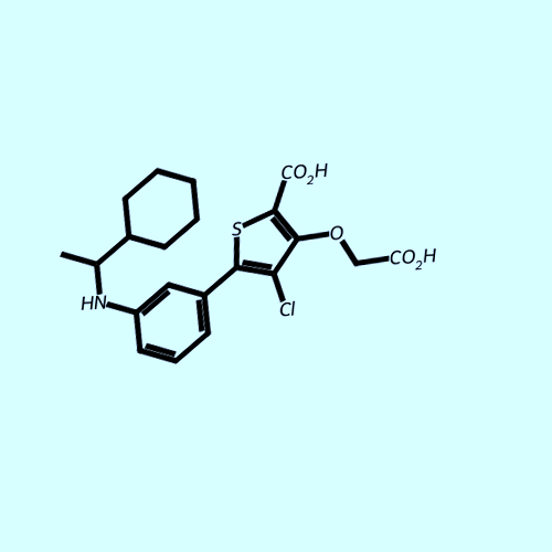 CC(Nc1cccc(-c2sc(C(=O)O)c(OCC(=O)O)c2Cl)c1)C1CCCCC1